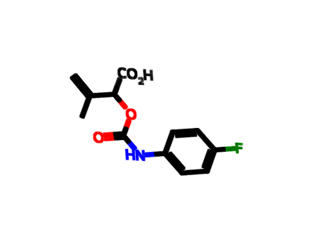 C=C(C)C(OC(=O)Nc1ccc(F)cc1)C(=O)O